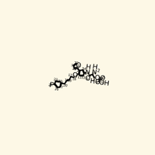 NC(COP(=O)(O)O)C(=O)Nc1ccc(OCCCCCc2ccc(F)cc2)c(-c2ccco2)c1